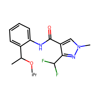 CC(C)OC(C)c1ccccc1NC(=O)c1cn(C)nc1C(F)F